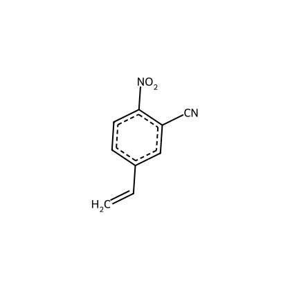 C=Cc1ccc([N+](=O)[O-])c(C#N)c1